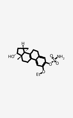 CCOc1cc2c(cc1OS(N)(=O)=O)CCC1=C2CC[C@]2(C)[C@H](O)C[C@@H]3C[C@@]132